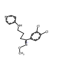 CO/N=C(\CCCNc1ccncc1)c1ccc(Cl)c(Cl)c1